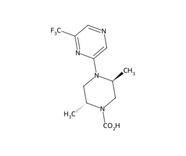 C[C@@H]1CN(c2cncc(C(F)(F)F)n2)[C@@H](C)CN1C(=O)O